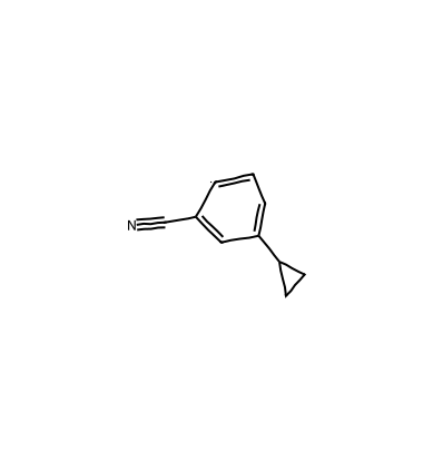 N#Cc1[c]ccc(C2CC2)c1